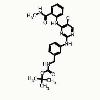 CNC(=O)c1ccccc1Nc1nc(Nc2cccc(CNC(=O)OC(C)(C)C)c2)ncc1Cl